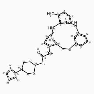 Cc1cnc2nc1Nc1ccc(NC(=O)CC3CCN(c4nncs4)CC3)c(c1)CCc1cccc(c1)N2